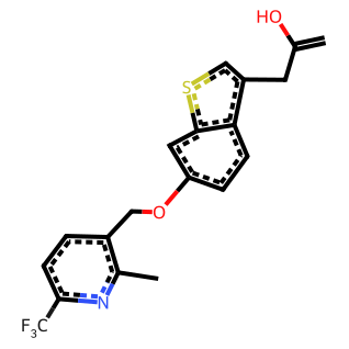 C=C(O)Cc1csc2cc(OCc3ccc(C(F)(F)F)nc3C)ccc12